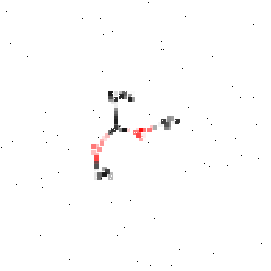 CCCOC(OCCC)OC(C)=O